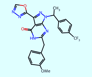 COc1cccc(Cc2nc3c(c(-c4nnco4)nn3C(C)c3ccc(C(F)(F)F)cc3)c(=O)[nH]2)c1